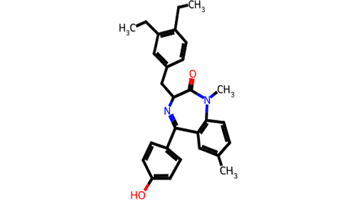 CCc1ccc(CC2N=C(c3ccc(O)cc3)c3cc(C)ccc3N(C)C2=O)cc1CC